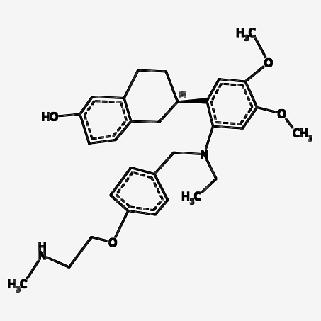 CCN(Cc1ccc(OCCNC)cc1)c1cc(OC)c(OC)cc1[C@@H]1CCc2cc(O)ccc2C1